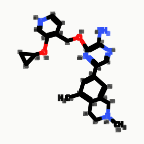 Cc1cc(-c2cnc(N)c(OCc3ccncc3OC3CC3)n2)cc2c1CCN(C)C2